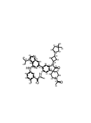 CNC(=O)c1cc(Nc2nc(-c3ccc4c(c3)N(C3CC(N5CCC(C)(C)C5)C3)C(=O)C43CCN(C(C)=O)CC3)cc3ncn(C(C)C)c23)ccc1C